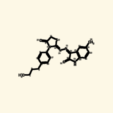 CCCCc1ccc(N2C(=O)CSC2=NN=C2C(=O)Nc3ccc(C)cc32)cc1